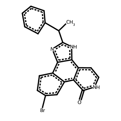 CC(c1ccccc1)c1nc2c3ccc(Br)cc3c3c(=O)[nH]ccc3c2[nH]1